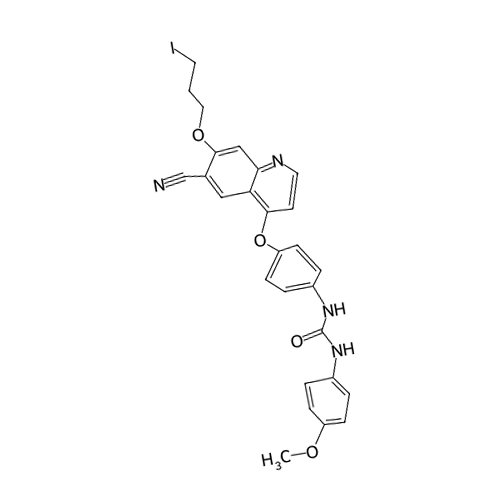 COc1ccc(NC(=O)Nc2ccc(Oc3ccnc4cc(OCCCI)c(C#N)cc34)cc2)cc1